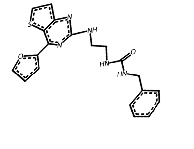 O=C(NCCNc1nc(-c2ccco2)c2sccc2n1)NCc1ccccc1